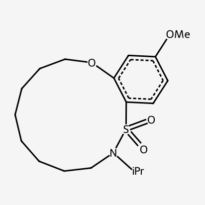 COc1ccc2c(c1)OCCCCCCCCN(C(C)C)S2(=O)=O